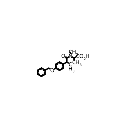 CC(C(=O)N(C)C(C)C(=O)O)c1ccc(OCc2ccccc2)cc1